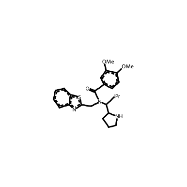 COc1ccc(C(=O)N(Cc2nc3ccccc3s2)C(C(C)C)C2CCCN2)cc1OC